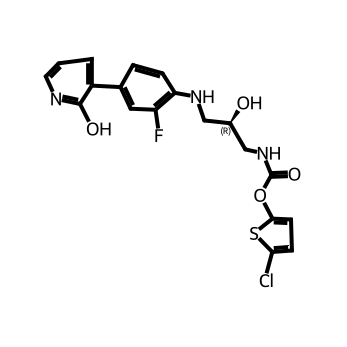 O=C(NC[C@H](O)CNc1ccc(-c2cccnc2O)cc1F)Oc1ccc(Cl)s1